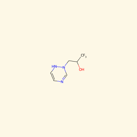 OC(CN1C=NC=CN1)C(F)(F)F